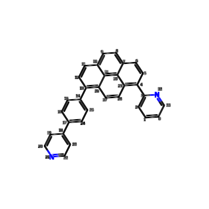 c1ccc(-c2ccc3ccc4ccc(-c5ccc(-c6ccncc6)cc5)c5ccc2c3c45)nc1